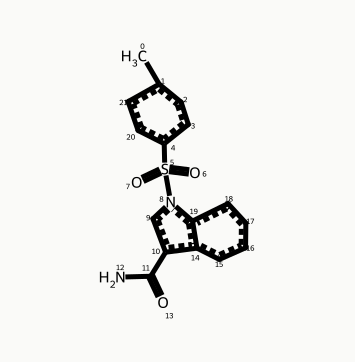 Cc1ccc(S(=O)(=O)n2cc(C(N)=O)c3ccccc32)cc1